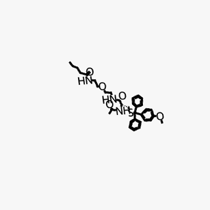 CCCCC(=O)NCCOCCNC(=O)[C@H](CSC(c1ccccc1)(c1ccccc1)c1ccc(OC)cc1)NC(C)=O